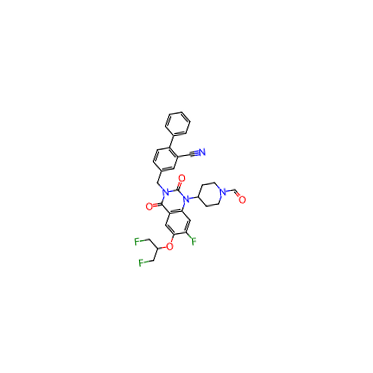 N#Cc1cc(Cn2c(=O)c3cc(OC(CF)CF)c(F)cc3n(C3CCN(C=O)CC3)c2=O)ccc1-c1ccccc1